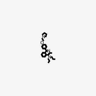 CCCN(CCC)c1c(C)nc(-c2ccc(OCCN3CCCC3)cc2)c2ccccc12